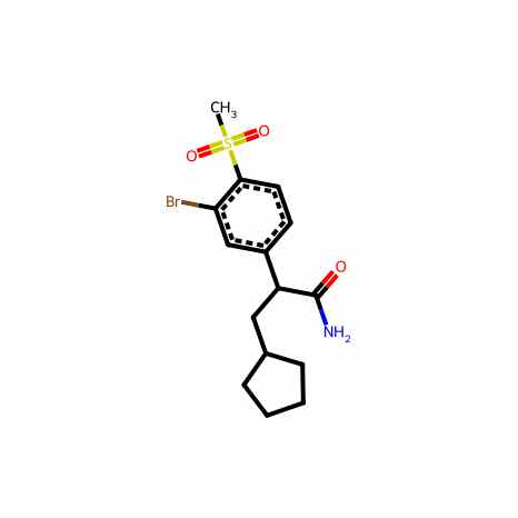 CS(=O)(=O)c1ccc(C(CC2CCCC2)C(N)=O)cc1Br